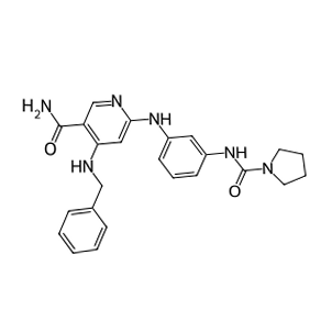 NC(=O)c1cnc(Nc2cccc(NC(=O)N3CCCC3)c2)cc1NCc1ccccc1